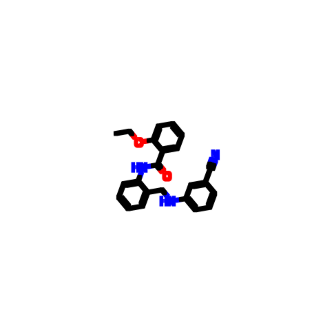 CCOc1ccccc1C(=O)Nc1ccccc1CNc1cccc(C#N)c1